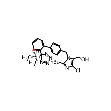 CCCCc1nc(Cl)c(CO)n1Cc1ccc(-c2ccccc2[C]2([Sn]([CH3])([CH3])[CH3])N=NN=N2)cc1